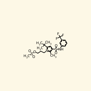 Cc1c(S(=O)(=O)Nc2cccc(C(F)(F)F)c2)cc(C(C)(C)C)n1CCCOS(C)(=O)=O